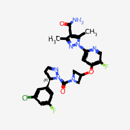 Cc1nn(-c2cc(OC3CN(C(=O)N4N=CC[C@@H]4c4cc(F)cc(Cl)c4)C3)c(F)cn2)c(C)c1C(N)=O